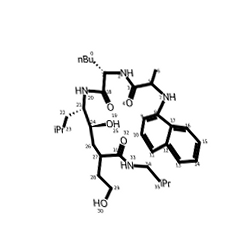 CCCC[C@H](NC(=O)C(C)Nc1cccc2ccccc12)C(=O)N[C@@H](CC(C)C)[C@@H](O)CC(CCO)C(=O)NCC(C)C